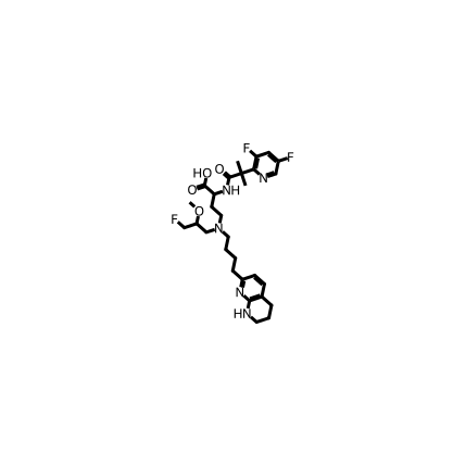 COC(CF)CN(CCCCc1ccc2c(n1)NCCC2)CCC(NC(=O)C(C)(C)c1ncc(F)cc1F)C(=O)O